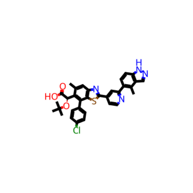 Cc1cc2nc(-c3ccnc(-c4ccc5[nH]ncc5c4C)c3)sc2c(-c2ccc(Cl)cc2)c1[C@H](OC(C)(C)C)C(=O)O